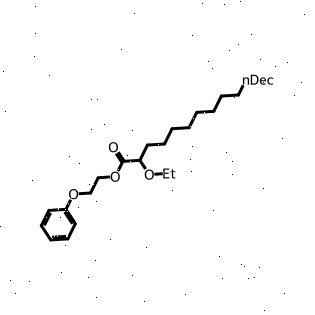 CCCCCCCCCCCCCCCCCCC(OCC)C(=O)OCCOc1ccccc1